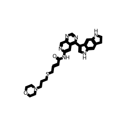 O=C(C=CCSCCCN1CCOCC1)Nc1cc2c(-c3c[nH]c4cc5c(cc34)NCC5)ncnc2cn1